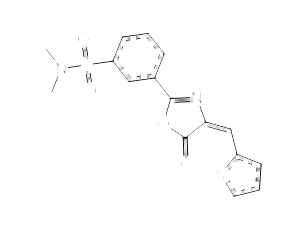 CN(C)S(=O)(=O)c1cccc(C2=N/C(=C/c3cccs3)C(=O)O2)c1